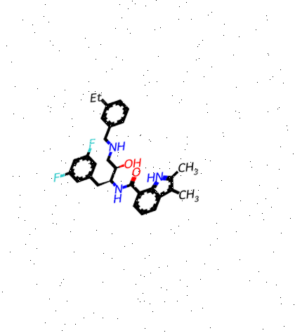 CCc1cccc(CNC[C@@H](O)[C@H](Cc2cc(F)cc(F)c2)NC(=O)c2cccc3c(C)c(C)[nH]c23)c1